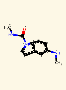 CNC(=O)n1ccc2cc(NC)ccc21